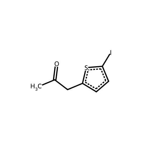 CC(=O)Cc1ccc(I)s1